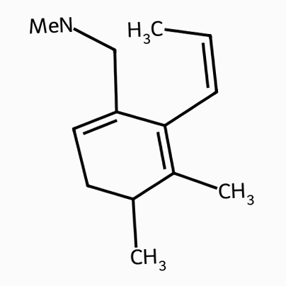 C/C=C\C1=C(C)C(C)CC=C1CNC